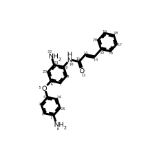 Nc1ccc(Oc2ccc(NC(=O)C=Cc3ccccc3)c(N)c2)cc1